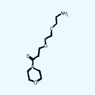 NCCOCCOCCC(=O)N1CCOCC1